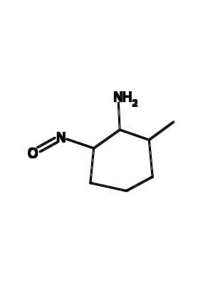 CC1CCCC(N=O)C1N